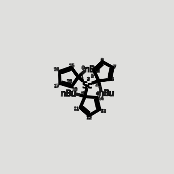 CCCC[C]1([Sc]([C]2(CCCC)C=CC=C2)[C]2(CCCC)C=CC=C2)C=CC=C1